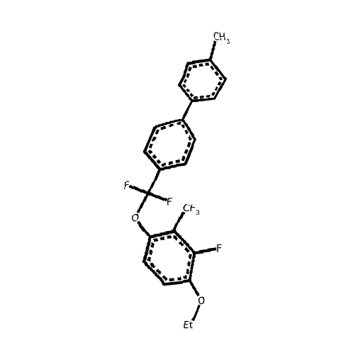 CCOc1ccc(OC(F)(F)c2ccc(-c3ccc(C)cc3)cc2)c(C(F)(F)F)c1F